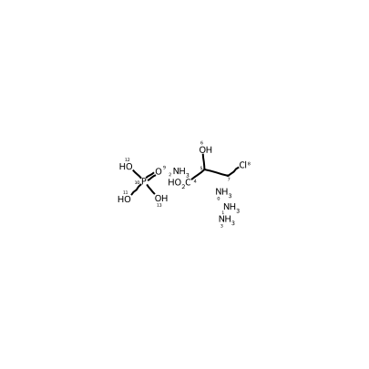 N.N.N.N.O=C(O)C(O)CCl.O=P(O)(O)O